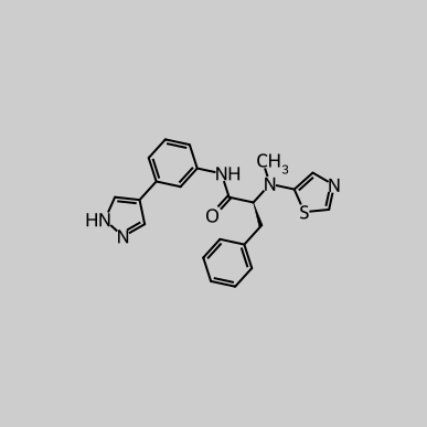 CN(c1cncs1)[C@@H](Cc1ccccc1)C(=O)Nc1cccc(-c2cn[nH]c2)c1